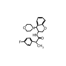 C[C@H](C(=O)NC1COc2ccccc2C1N1CCOCC1)c1ccc(F)cc1